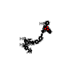 Cc1ncsc1-c1ccc([C@H](C)NC(=O)[C@@H]2C[C@@H](O)CN2C(=O)[C@@H](c2cc(N3CCC(CN4CCC(C#C[C@H]5C[C@H](Oc6cc(N7C8CCC7CN(c7cc(-c9ccccc9O)nnc7N)C8)ccn6)C5)CC4)CC3)no2)C(C)C)cc1